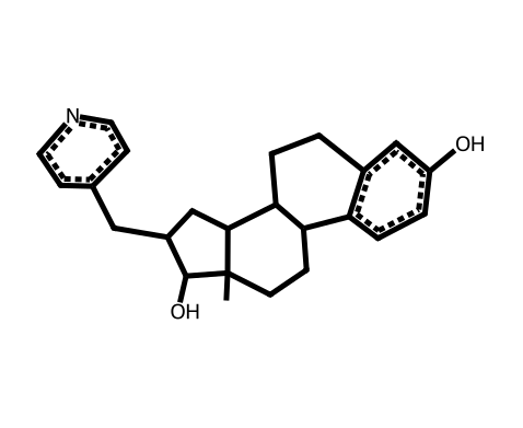 CC12CCC3c4ccc(O)cc4CCC3C1CC(Cc1ccncc1)C2O